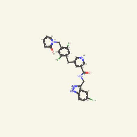 O=C(NCc1n[nH]c2ccc(Cl)cc12)c1cncc(Cc2cc(F)c(Cn3ccccc3=O)cc2F)c1